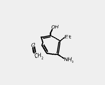 C=O.CCc1c(N)cccc1O